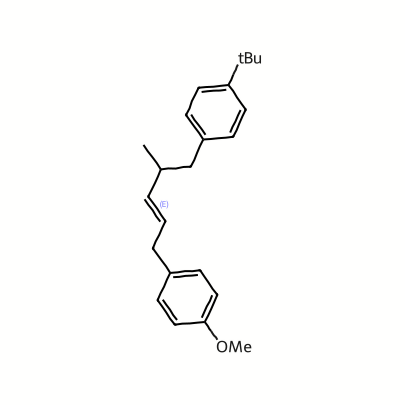 COc1ccc(C/C=C/C(C)Cc2ccc(C(C)(C)C)cc2)cc1